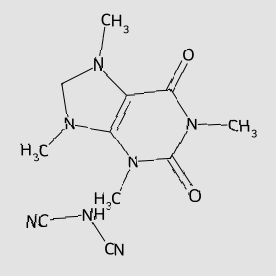 CN1CN(C)c2c1c(=O)n(C)c(=O)n2C.N#CNC#N